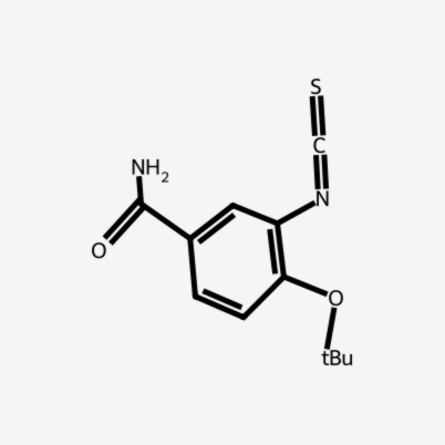 CC(C)(C)Oc1ccc(C(N)=O)cc1N=C=S